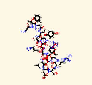 CC(C)C[C@H](NC(=O)[C@H](Cc1ccc(O)cc1)NC(=O)[C@H](CCCCN)NC(=O)[C@H](CO)NC(=O)[C@H](Cc1ccc(O)cc1)NC(=O)[C@H](CC(=O)O)NC(=O)[C@H](CO)NC(=O)[C@@H](NC(=O)[C@H](Cc1ccccc1)NC(=O)[C@@H](NC(=O)CN)[C@@H](C)O)[C@@H](C)O)C(=O)N[C@@H](CC(=O)O)C(=O)N[C@@H](CO)C(=O)N[C@@H](CCCNC(=N)N)C(=O)N[C@@H](CCCNC(=N)N)C(=O)N[C@@H](C)C(=O)O